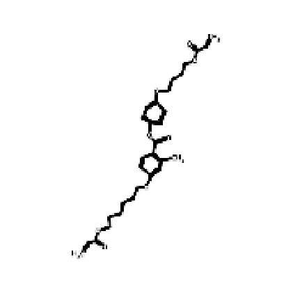 C=CC(=O)OCCCCCCOc1ccc(C(=O)Oc2ccc(OCCCCOC(=O)C=C)cc2)c(C)c1